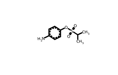 CC(C)S(=O)(=O)Oc1ccc(N)cc1